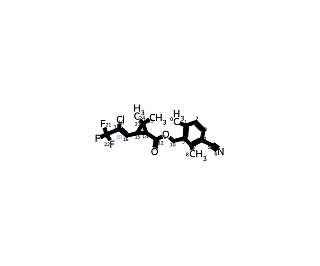 Cc1ccc(C#N)c(C)c1COC(=O)C1C(/C=C(\Cl)C(F)(F)F)C1(C)C